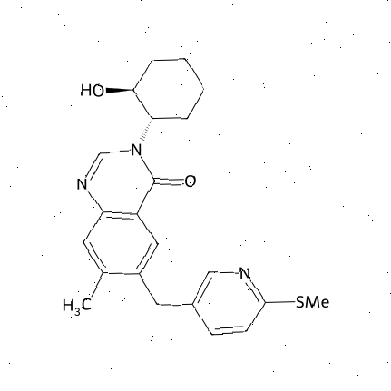 CSc1ccc(Cc2cc3c(=O)n([C@H]4CCCC[C@@H]4O)cnc3cc2C)cn1